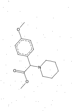 COC(=O)C(c1ccc(OC)cc1)N1CCCCC1